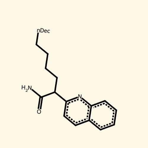 CCCCCCCCCCCCCCC(C(N)=O)c1ccc2ccccc2n1